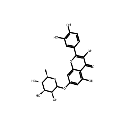 C[C@H]1OC(Oc2cc(O)c3c(=O)c(O)c(-c4ccc(O)c(O)c4)oc3c2)[C@@H](O)[C@@H](O)[C@@H]1O